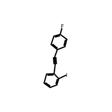 Fc1ccc(C#Cc2ccccc2I)cc1